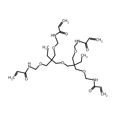 C=CC(=O)NCOCC(CC)(COCNC(=O)C=C)COCC(CC)(COCNC(=O)C=C)COCNC(=O)C=C